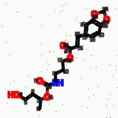 CC(CCO)OC(=O)NCCCOC(=O)/C=C/c1ccc2c(c1)OCO2